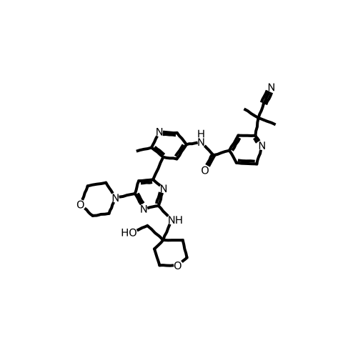 Cc1ncc(NC(=O)c2ccnc(C(C)(C)C#N)c2)cc1-c1cc(N2CCOCC2)nc(NC2(CO)CCOCC2)n1